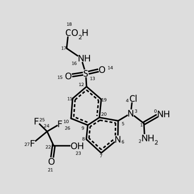 N=C(N)N(Cl)c1nccc2ccc(S(=O)(=O)NCC(=O)O)cc12.O=C(O)C(F)(F)F